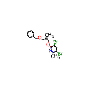 Cc1nc(OC[C@@H](C)COCc2ccccc2)c(Br)cc1Br